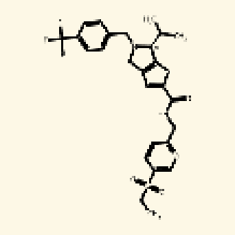 CCS(=O)(=O)c1ccc(CNC(=O)c2cc3c(s2)[C@H](C(C)C)N(Cc2ccc(C(F)(F)F)cc2)C3)nc1